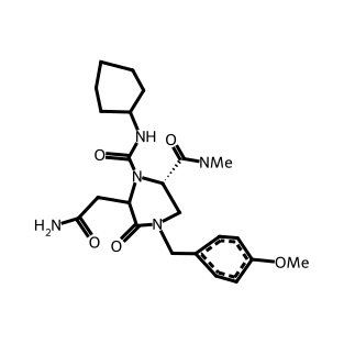 CNC(=O)[C@@H]1CN(Cc2ccc(OC)cc2)C(=O)C(CC(N)=O)N1C(=O)NC1CCCCC1